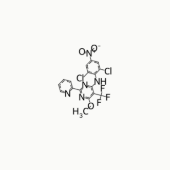 COc1nc(-c2ccccn2)nc(Nc2c(Cl)cc([N+](=O)[O-])cc2Cl)c1C(F)(F)F